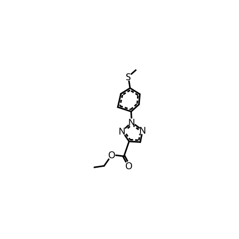 CCOC(=O)c1cnn(-c2ccc(SC)cc2)n1